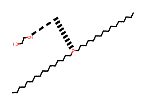 C=C.C=C.C=C.C=C.C=C.C=C.C=C.C=C.C=C.C=C.C=C.C=C.CCCCCCCCCCCCCCCCOCCCCCCCCCCCCCCCC.OCCO